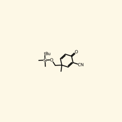 CC1(CO[Si](C)(C)C(C)(C)C)C=CC(=O)C(C#N)=C1